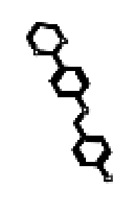 Clc1ccc(COc2ccc(C3OCCCO3)cc2)cc1